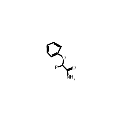 NC(=O)C(F)Oc1ccccc1